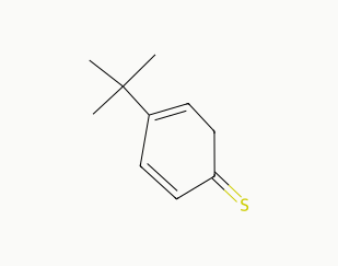 CC(C)(C)C1=CCC(=S)C=C1